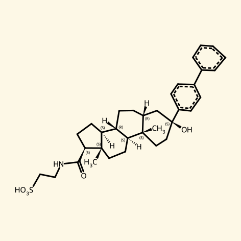 C[C@]12CC[C@@](O)(c3ccc(-c4ccccc4)cc3)C[C@H]1CC[C@@H]1[C@@H]2CC[C@]2(C)[C@@H](C(=O)NCCS(=O)(=O)O)CC[C@@H]12